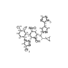 COc1cc(C(CC2CC2)n2cc(-c3ncnn3C)cn2)[n+](O)cc1-c1c(-n2cc(C(F)(F)F)nn2)ccc(Cl)c1F